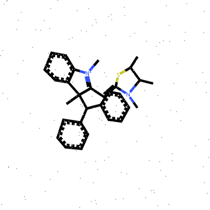 CC1S/C(=C\C2=[N+](C)c3ccccc3C2(C)C(c2ccccc2)c2ccccc2)N(C)C1C